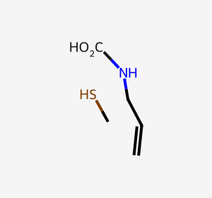 C=CCNC(=O)O.CS